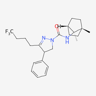 C[C@]1(NC(=O)N2CC(c3ccccc3)C(CCCC(F)(F)F)=N2)[C@H]2CC[C@]1(C)CC2